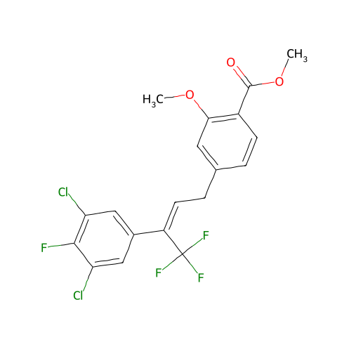 COC(=O)c1ccc(CC=C(c2cc(Cl)c(F)c(Cl)c2)C(F)(F)F)cc1OC